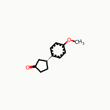 COc1ccc([C@@H]2CCC(=O)C2)cc1